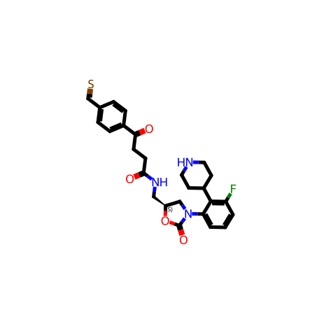 O=C(CCC(=O)c1ccc(C=S)cc1)NC[C@H]1CN(c2cccc(F)c2C2CCNCC2)C(=O)O1